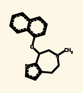 CN1CCc2ccsc2C(Oc2cccc3ccccc23)C1